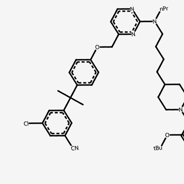 CCCN(CCCCC1CCN(CC(=O)OC(C)(C)C)CC1)c1nccc(COc2ccc(C(C)(C)c3cc(Cl)cc(C#N)c3)cc2)n1